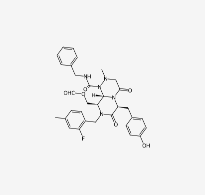 Cc1ccc(CN2C(=O)[C@H](Cc3ccc(O)cc3)N3C(=O)CN(C)N(C(=O)NCc4ccccc4)[C@H]3[C@@H]2COC=O)c(F)c1